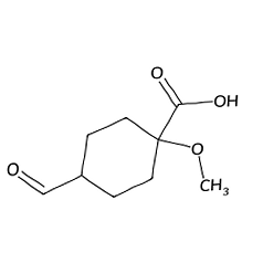 COC1(C(=O)O)CCC(C=O)CC1